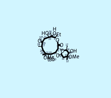 CC[C@H]1OC(=O)[C@H](C)[C@@H](O[C@H]2C[C@@](C)(OC)[C@@H](O)[C@H](C)O2)[C@H](C)[C@@H](C(C)(C)C)[C@](C)(OC)C[C@@H](C)C(=O)[C@H](C)[C@@H](O)[C@]1(C)O